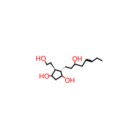 CCC=CC[C@H](O)CC[C@H]1[C@H](CCO)[C@H](O)C[C@@H]1O